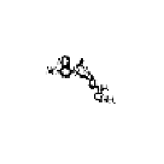 CC1CN(c2ccc(C#N)c3ncccc23)CC2c3ccc(NC4CCCNC4)cc3CN12